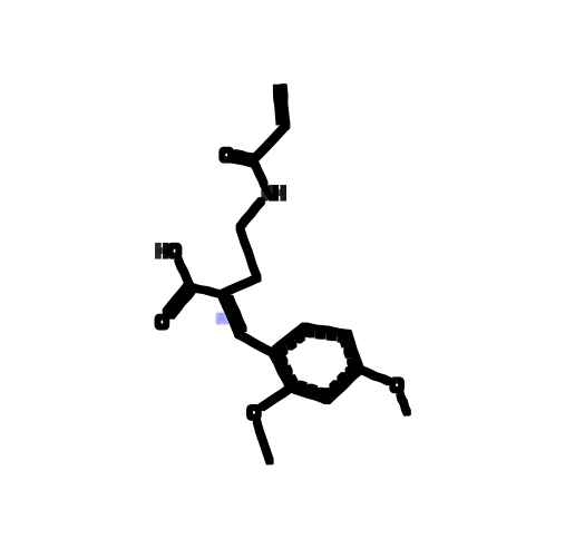 C=CC(=O)NCC/C(=C\c1ccc(OC)cc1OC)C(=O)O